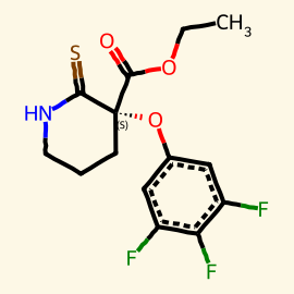 CCOC(=O)[C@@]1(Oc2cc(F)c(F)c(F)c2)CCCNC1=S